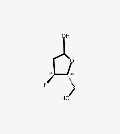 OC[C@H]1OC(O)C[C@@H]1F